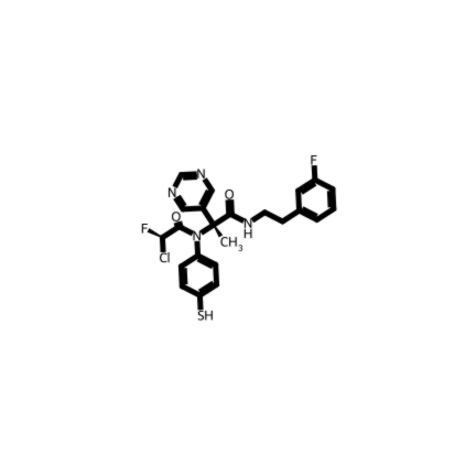 C[C@](C(=O)NCCc1cccc(F)c1)(c1cncnc1)N(C(=O)[C@H](F)Cl)c1ccc(S)cc1